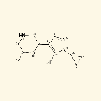 CC1CNC[C@@H](c2cnn(C3CC3)c2F)O1